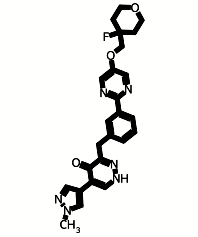 Cn1cc(-c2c[nH]nc(Cc3cccc(-c4ncc(OCC5(F)CCOCC5)cn4)c3)c2=O)cn1